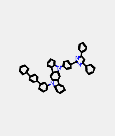 c1ccc(-c2ccc(-c3cccc(-n4c5ccccc5c5cc6c(cc54)c4ccccc4n6-c4ccc(-c5nc(-c6ccccc6)cc(-c6ccccc6)n5)cc4)c3)cc2)cc1